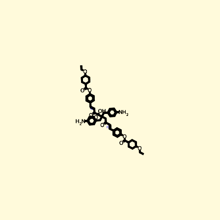 CCOC1CCC(C(=O)Oc2ccc(/C=C/C(=O)CC(Cc3ccc(N)cc3)(Cc3ccc(N)cc3)C(O)(O)C(=O)/C=C/c3ccc(OC(=O)C4CCC(OCC)CC4)cc3)cc2)CC1